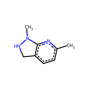 Cc1ccc2c(n1)N(C)NC2